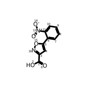 O=C(O)c1cc(-c2ccccc2[N+](=O)[O-])on1